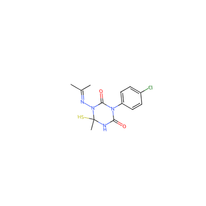 CC(C)=NN1C(=O)N(c2ccc(Cl)cc2)C(=O)NC1(C)S